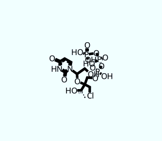 C[C@H](O)C(CCl)(COP(=O)(O)OP(=O)(O)OP(=O)(O)O)OC(CO)n1ccc(=O)[nH]c1=O